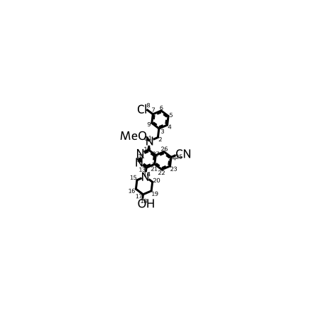 CON(Cc1cccc(Cl)c1)c1nnc(N2CCC(O)CC2)c2ccc(C#N)cc12